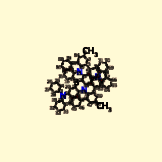 Cc1cc(-c2ccccc2)c(N2c3ccccc3B3c4cc(N(c5ccccc5)c5ccccc5)ccc4N(c4c(-c5ccccc5)cc(C)cc4-c4ccccc4)c4cc(-n5c6ccccc6c6ccccc65)cc2c43)c(-c2ccccc2)c1